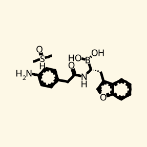 C[SH](C)(=O)c1cc(CC(=O)N[C@@H](Cc2coc3ccccc23)B(O)O)ccc1N